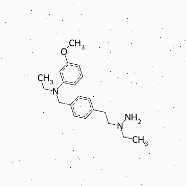 CCN(N)CCc1ccc(CN(CC)c2cccc(OC)c2)cc1